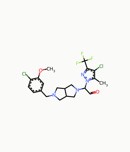 COc1cc(CN2CC3CN(C(C=O)n4nc(C(F)(F)F)c(Cl)c4C)CC3C2)ccc1Cl